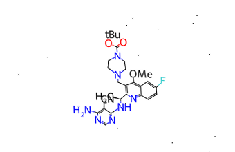 COc1c(CN2CCN(C(=O)OC(C)(C)C)CC2)c([C@H](C)Nc2ncnc(N)c2C#N)nc2ccc(F)cc12